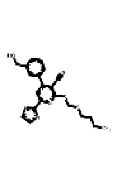 CCCCSCSc1nc(-c2nccs2)cc(-c2cccc(CO)c2)c1C#N